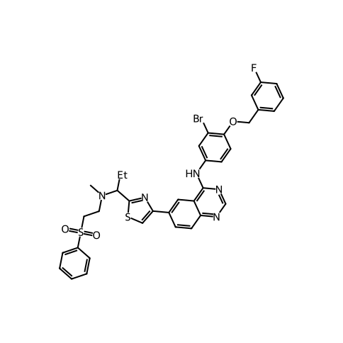 CCC(c1nc(-c2ccc3ncnc(Nc4ccc(OCc5cccc(F)c5)c(Br)c4)c3c2)cs1)N(C)CCS(=O)(=O)c1ccccc1